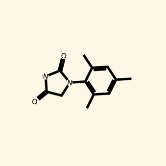 Cc1cc(C)c(N2CC(=O)[N]C2=O)c(C)c1